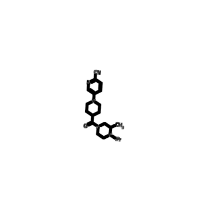 CC(C)N1CCN(C(=O)C2CCN(c3ccc(C#N)nc3)CC2)CC1C